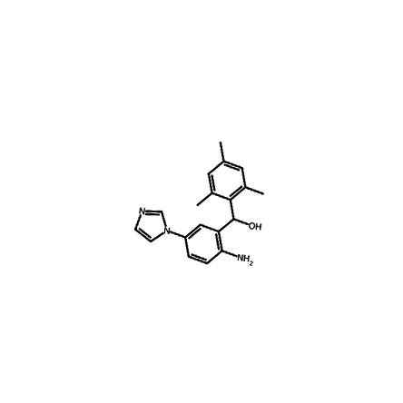 Cc1cc(C)c(C(O)c2cc(-n3ccnc3)ccc2N)c(C)c1